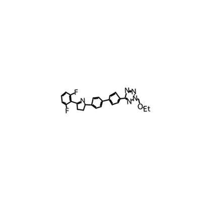 CCOCn1nnc(-c2ccc(-c3ccc(C4CCC(c5c(F)cccc5F)=N4)cc3)cc2)n1